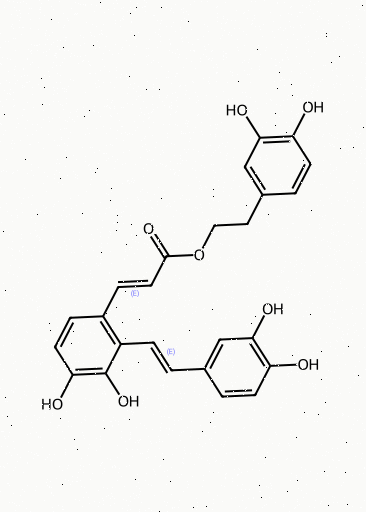 O=C(/C=C/c1ccc(O)c(O)c1/C=C/c1ccc(O)c(O)c1)OCCc1ccc(O)c(O)c1